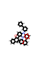 c1ccc(-c2cccc(N(c3ccccc3)c3ccc4oc5c6ccccc6ccc5c4c3N(c3ccccc3)c3ccccc3-c3ccccc3)c2)cc1